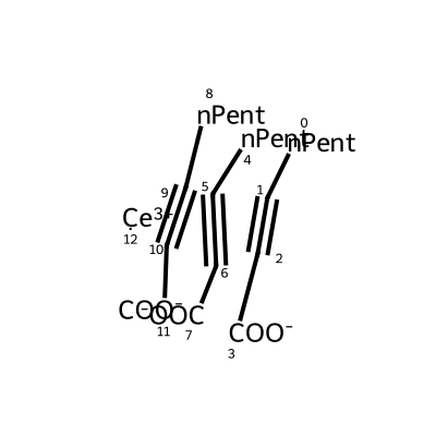 CCCCCC#CC(=O)[O-].CCCCCC#CC(=O)[O-].CCCCCC#CC(=O)[O-].[Ce+3]